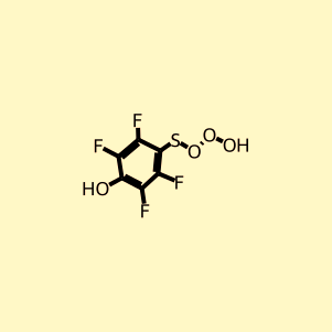 OOOSc1c(F)c(F)c(O)c(F)c1F